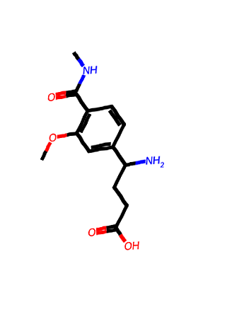 CNC(=O)c1ccc(C(N)CCC(=O)O)cc1OC